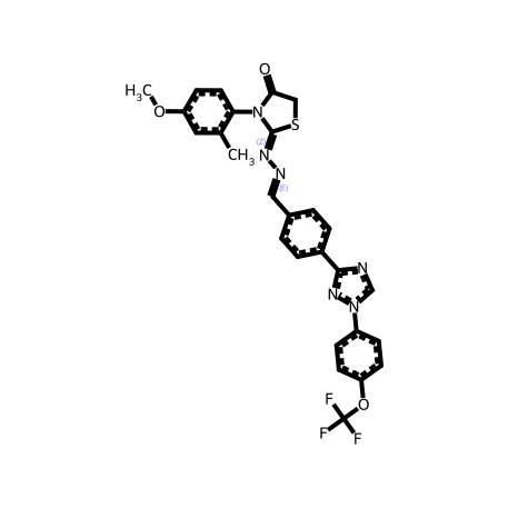 COc1ccc(N2C(=O)CS/C2=N\N=C\c2ccc(-c3ncn(-c4ccc(OC(F)(F)F)cc4)n3)cc2)c(C)c1